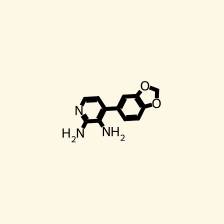 Nc1nccc(-c2ccc3c(c2)OCO3)c1N